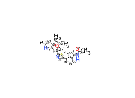 C=C(/C=C(C#N)\C(=C/C)OC(C)C)c1ncc(C2C=CC=C3C2CC[C@@H]3NC(C)=O)s1